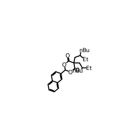 CCCCC(CC)CC1(CC(CC)CCCC)C(=O)OC(c2ccc3ccccc3c2)OC1=O